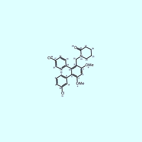 COc1cc(OC)c(-c2cccc(Cl)c2)c(-c2ccc(Cl)cn2)c1CN1CCCCC1=O